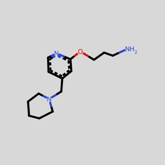 NCCCOc1cc(CN2CCCCC2)ccn1